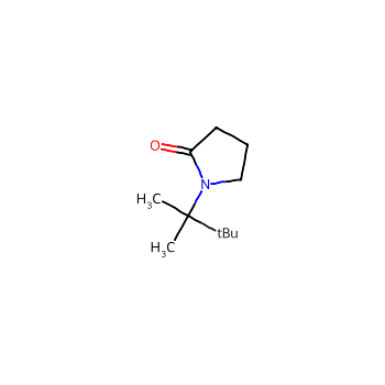 CC(C)(C)C(C)(C)N1CCCC1=O